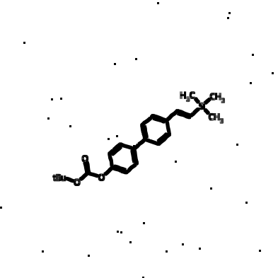 CC(C)(C)OC(=O)Oc1ccc(-c2ccc(/C=C/[Si](C)(C)C)cc2)cc1